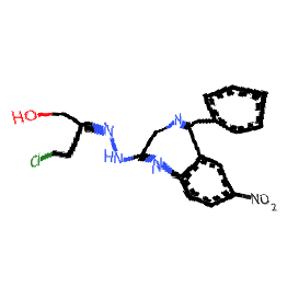 O=[N+]([O-])c1ccc2c(c1)C(c1ccccc1)=NCC(NN=C(CO)CCl)=N2